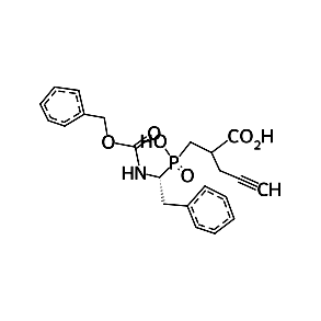 C#CCC(CP(=O)(O)[C@H](Cc1ccccc1)NC(=O)OCc1ccccc1)C(=O)O